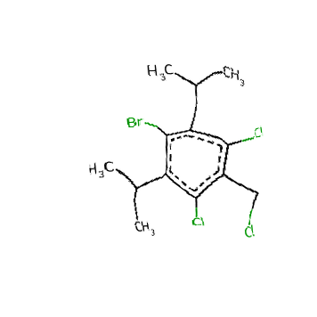 CC(C)c1c(Cl)c(CCl)c(Cl)c(C(C)C)c1Br